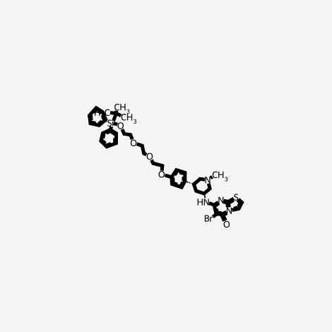 CN1C[C@H](Nc2nc3sccn3c(=O)c2Br)C[C@H](c2ccc(OCCOCCOCCO[Si](c3ccccc3)(c3ccccc3)C(C)(C)C)cc2)C1